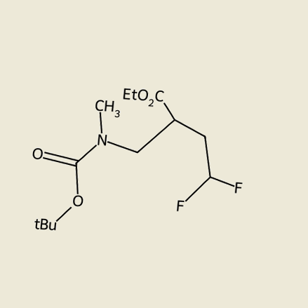 CCOC(=O)C(CC(F)F)CN(C)C(=O)OC(C)(C)C